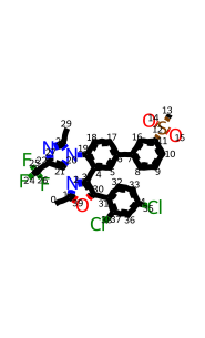 Cc1nc(-c2cc(-c3cccc(S(C)(=O)=O)c3)ccc2-n2cc(C(F)(F)F)nc2C)c(-c2ccc(Cl)cc2Cl)o1